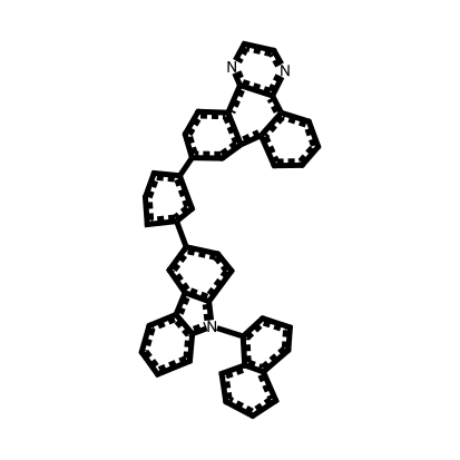 c1cc(-c2ccc3c(c2)c2ccccc2c2nccnc32)cc(-c2ccc3c(c2)c2ccccc2n3-c2cccc3ccccc23)c1